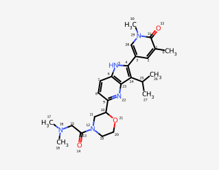 Cc1cc(-c2[nH]c3ccc(C4CN(C(=O)CN(C)C)CCO4)nc3c2C(C)C)cn(C)c1=O